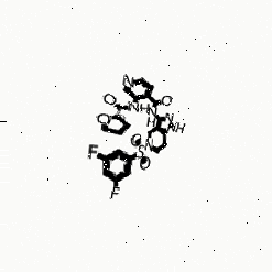 O=C(Nc1n[nH]c2c1CN(S(=O)(=O)c1cc(F)cc(F)c1)CC2)c1ccncc1NC(=O)[C@@H]1CCCO1